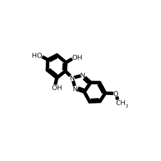 COc1ccc2nn(-c3c(O)cc(O)cc3O)nc2c1